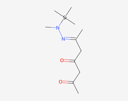 CC(=O)CC(=O)CC(C)=NN(C)[Si](C)(C)C